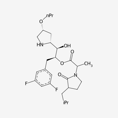 CCCO[C@H]1CN[C@@H]([C@@H](O)[C@H](Cc2cc(F)cc(F)c2)OC(=O)C(C)N2CCC(CC(C)C)C2=O)C1